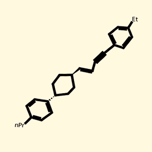 CCCc1ccc([C@H]2CC[C@H](C=CC#Cc3ccc(CC)cc3)CC2)cc1